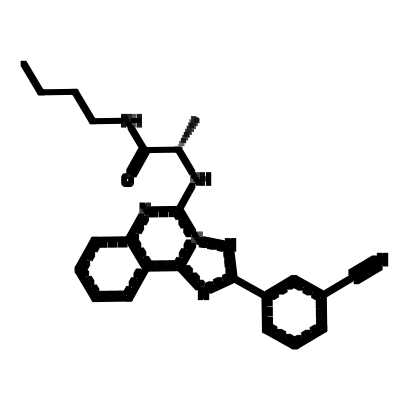 CCCCNC(=O)[C@H](C)Nc1nc2ccccc2c2nc(-c3cccc(C#N)c3)nn12